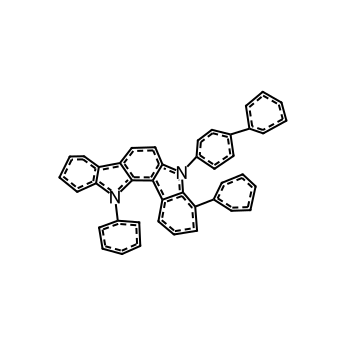 c1ccc(-c2ccc(-n3c4ccc5c6ccccc6n(-c6ccccc6)c5c4c4cccc(-c5ccccc5)c43)cc2)cc1